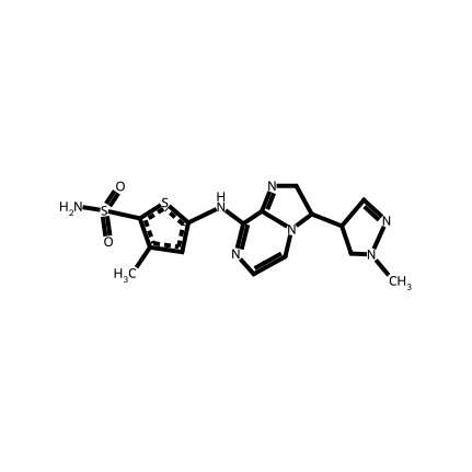 Cc1cc(NC2=NC=CN3C2=NCC3C2C=NN(C)C2)sc1S(N)(=O)=O